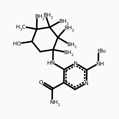 BC1(Nc2nc(NC(C)(C)C)ncc2C(N)=O)CC(O)C(B)(C)C(B)(B)C1(B)B